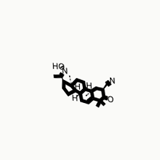 CC(=NO)[C@H]1CC[C@H]2[C@@H]3CC=C4C(C)(C)C(=O)[C@H](C#N)C[C@]4(C)[C@H]3CC[C@]12C